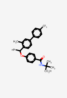 CCCC(Oc1ccc(C(=O)NC(C)(C)C(=O)O)cc1)c1ccc(-c2ccc(C(F)(F)F)cc2)cc1C